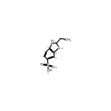 CCC1Nc2ccc(S(=O)(=O)O)cc2S1